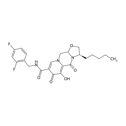 CCCCC[C@@H]1COC2Cn3cc(C(=O)NCc4ccc(F)cc4F)c(=O)c(O)c3C(=O)N21